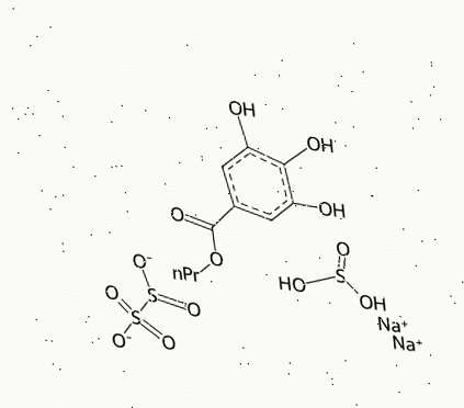 CCCOC(=O)c1cc(O)c(O)c(O)c1.O=S(O)O.O=S([O-])S(=O)(=O)[O-].[Na+].[Na+]